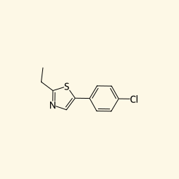 CCc1ncc(-c2ccc(Cl)cc2)s1